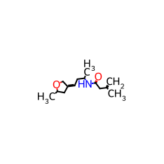 C=C(C)CC(=O)NC(C)C/C=C1\COC(C)C1